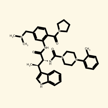 Cc1ccccc1N1CCN(C(=O)N[C@@H](C(=O)Nc2cc(CN(C)C)ccc2C(=O)N2CCCC2)[C@H](C)c2c[nH]c3ccccc23)CC1